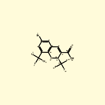 [2H]C([2H])(F)c1cc(Br)cc2c1O[C@H](C(F)(F)F)C(C(=O)O)=C2